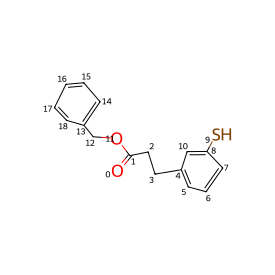 O=C(CCc1cccc(S)c1)OCc1ccccc1